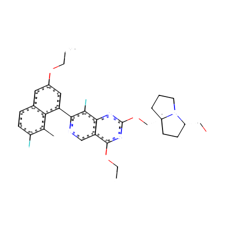 CCc1c(F)ccc2cc(OCOC)cc(-c3ncc4c(OCC(F)(F)F)nc(OC[C@]56CCCN5[C@H](CO)CC6)nc4c3F)c12